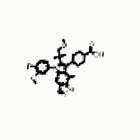 COCC(C)(C)c1c(C2CCC(C(=O)O)CC2)c2c(F)c3[nH]ncc3cc2n1-c1ccc(F)c(OC)c1